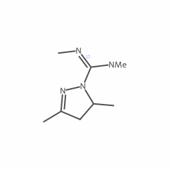 C/N=C(/NC)N1N=C(C)CC1C